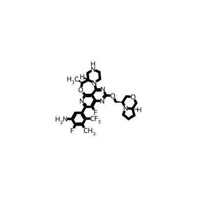 Cc1c(F)c(N)cc(-c2nc3c4c(nc(OC[C@H]5COC[C@H]6CCCN65)nc4c2F)N2CCNC[C@H]2[C@H](C)O3)c1C(F)(F)F